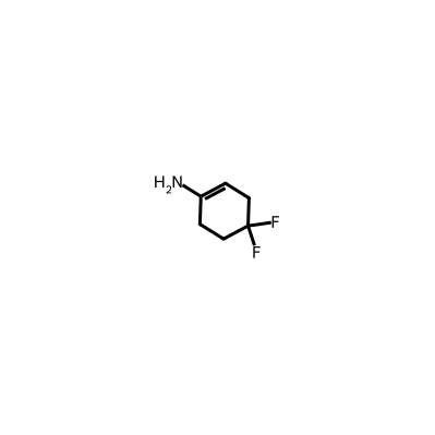 NC1=CCC(F)(F)CC1